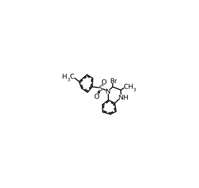 Cc1ccc(S(=O)(=O)N2c3ccccc3NC(C)C2Br)cc1